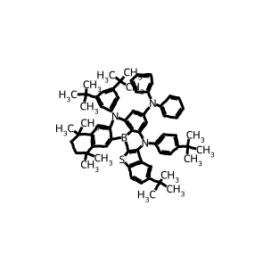 CC(C)(C)c1ccc(N2c3cc(N(c4ccccc4)c4ccccc4)cc4c3B(c3cc5c(cc3N4c3cc(C(C)(C)C)cc(C(C)(C)C)c3)C(C)(C)CCC5(C)C)c3sc4ccc(C(C)(C)C)cc4c32)cc1